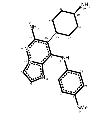 CSc1ccc(Nc2c3nccn3nc(N)c2[C@H]2CC[C@H](N)CC2)cc1